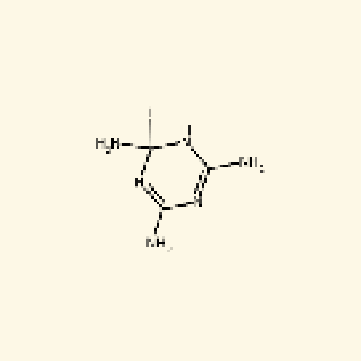 NC1=NC(N)(I)NC(N)=N1